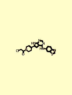 O=C(CCl)N1CC=C(c2cc3c(Nc4ccc5ncsc5c4)ncnc3[nH]2)CC1